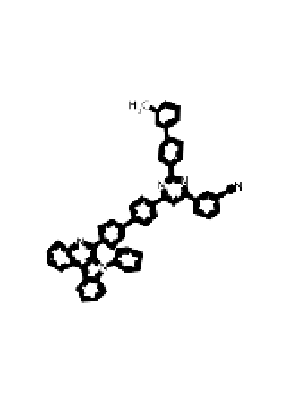 CC1C=CC=C(c2ccc(-c3nc(-c4ccc(-c5ccc(-c6nc7ccccc7c7c8ccccc8n(-c8ccccc8)c67)cc5)cc4)cc(-c4cccc(C#N)c4)n3)cc2)C1